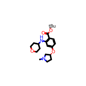 CN1CC[C@H](Oc2ccc(C(=O)OC(C)(C)C)c(NC3CCOCC3)c2)C1